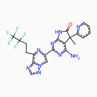 CC1(c2ccccn2)C(=O)Nc2nc(-c3cn4ncnc4c(CCC(F)(F)C(F)(F)F)n3)nc(N)c21